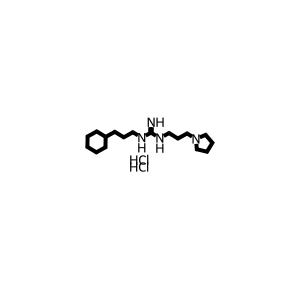 Cl.Cl.N=C(NCCCC1CCCCC1)NCCCN1CCCC1